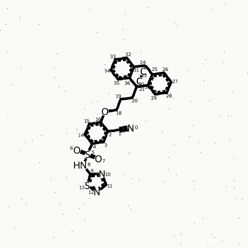 N#Cc1cc(S(=O)(=O)Nc2ncns2)ccc1OCCCC12CCC(c3ccccc31)c1ccccc12